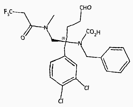 CN(C[C@](CCC=O)(c1ccc(Cl)c(Cl)c1)N(Cc1ccccc1)C(=O)O)C(=O)CC(F)(F)F